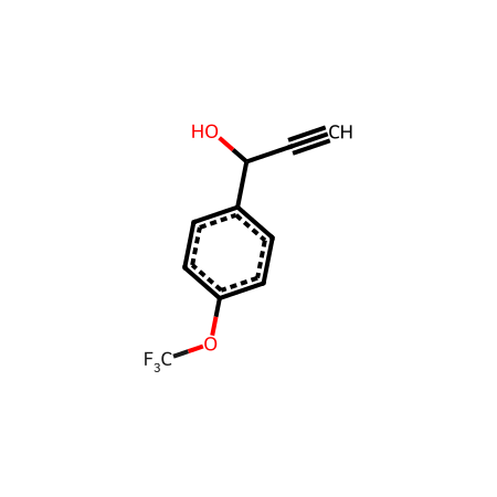 C#CC(O)c1ccc(OC(F)(F)F)cc1